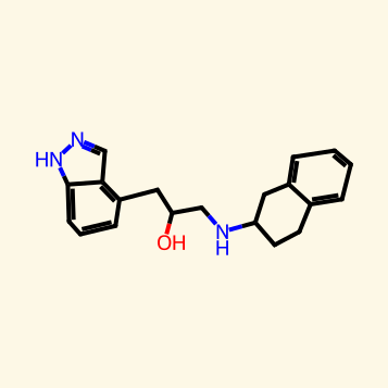 OC(CNC1CCc2ccccc2C1)Cc1cccc2[nH]ncc12